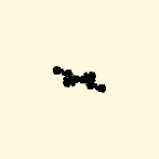 CCc1cccc(C)c1N(c1ccc(-c2ccc(N(c3cccc(/C=C/c4ccccc4)c3)c3c(C)cccc3CC)cc2)cc1)c1cccc(/C=C/c2ccccc2)c1